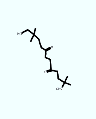 CC(C)(C=O)CCC(=O)CCC(=O)CCC(C)(C)CO